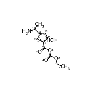 CCOC(=O)OC(=O)c1ccc(C(C)N)s1.Cl